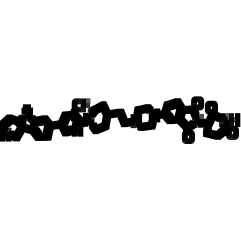 Cn1c2ccncc2c2ccc(-c3cnc(N4CCC(CCN5CCN(c6ccc7c(c6)C(=O)N(C6CCC(=O)NC6=O)C7=O)CC5)CC4)c(C(F)(F)F)c3)cc21